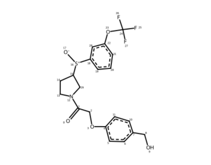 O=C(COc1ccc(CO)cc1)N1CCC([S+]([O-])c2cccc(OC(F)(F)F)c2)C1